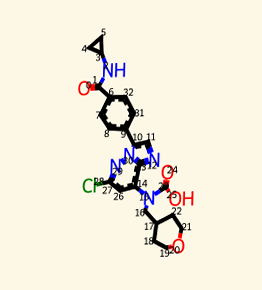 O=C(NC1CC1)c1ccc(-c2cnc3c(N(CC4CCOCC4)C(=O)O)cc(Cl)nn23)cc1